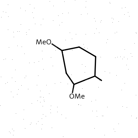 COC1CCC(C)C(OC)C1